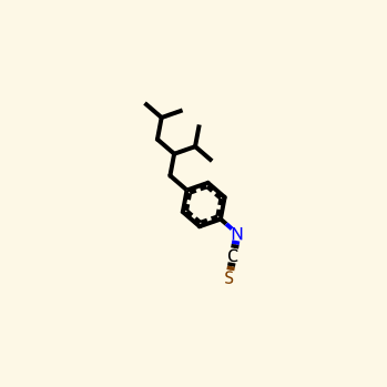 CC(C)CC(Cc1ccc(N=C=S)cc1)C(C)C